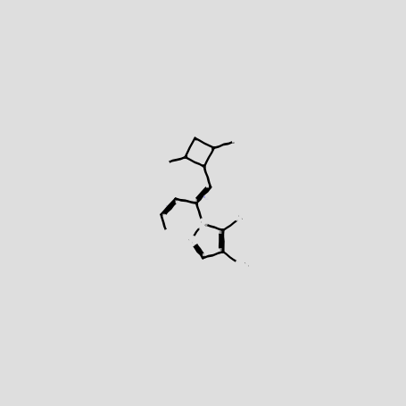 C/C=C\C(=C/C1C(C)CC1I)n1ncc(C#N)c1N